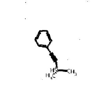 C[SiH](C)C#Cc1ccccc1